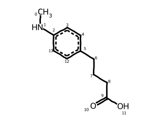 CNc1ccc(CCCC(=O)O)cc1